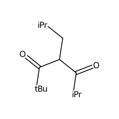 CC(C)CC(C(=O)C(C)C)C(=O)C(C)(C)C